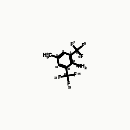 Cc1cc(C(F)(F)F)c(N)c(C(F)(F)F)c1